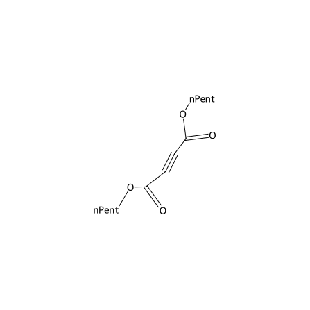 CCCCCOC(=O)C#CC(=O)OCCCCC